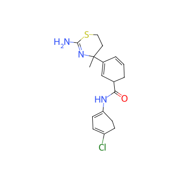 CC1(C2=CC(C(=O)NC3=CC=C(Cl)CC3)CC=C2)CCSC(N)=N1